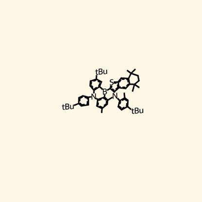 Cc1cc2c3c(c1)N(c1ccc(C(C)(C)C)cc1C)c1c(sc4cc5c(cc14)C(C)(C)CCC5(C)C)B3c1cc(C(C)(C)C)ccc1N2c1ccc(C(C)(C)C)cc1